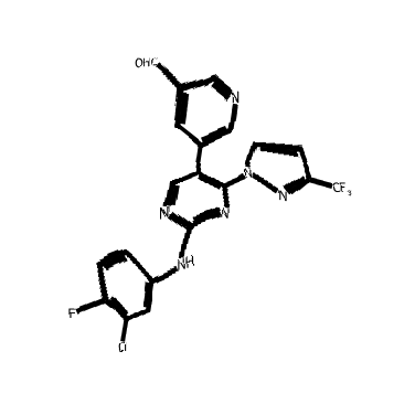 O=Cc1cncc(-c2cnc(Nc3ccc(F)c(Cl)c3)nc2-n2ccc(C(F)(F)F)n2)c1